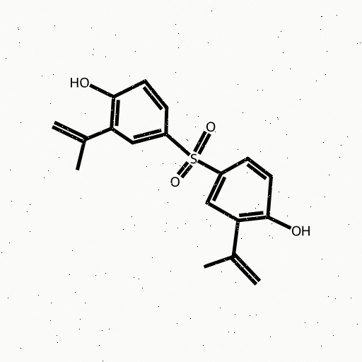 C=C(C)c1cc(S(=O)(=O)c2ccc(O)c(C(=C)C)c2)ccc1O